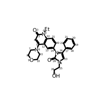 CCn1c(=O)cc(N2CCOCC2)c2cc(-n3c(-c4ccccc4)cn(CCO)c3=O)ccc21